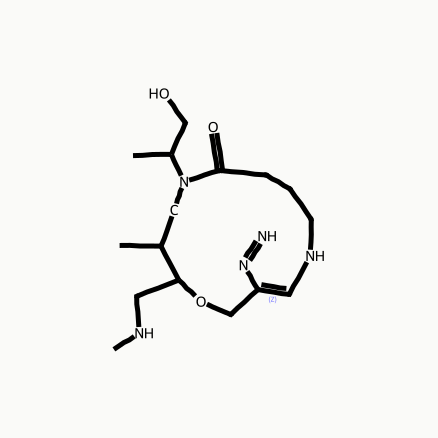 CNCC1OC/C(N=N)=C/NCCCC(=O)N(C(C)CO)CC1C